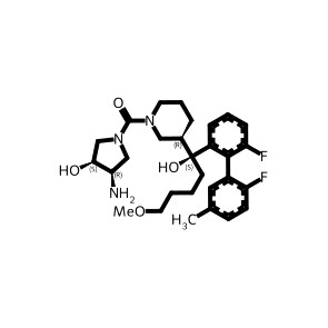 COCCCC[C@@](O)(c1cccc(F)c1-c1cc(C)ccc1F)[C@@H]1CCCN(C(=O)N2C[C@@H](N)[C@@H](O)C2)C1